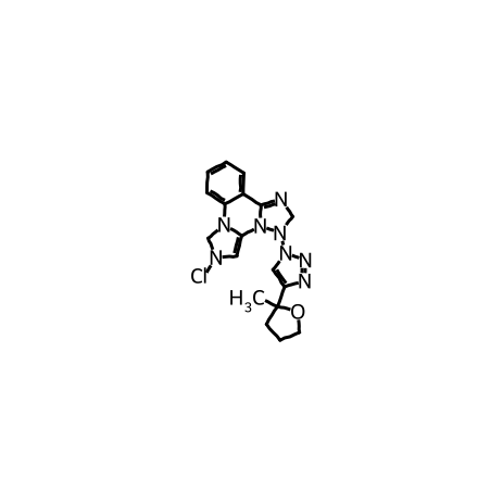 CC1(c2cn(N3CN=C4c5ccccc5N5CN(Cl)C=C5N43)nn2)CCCO1